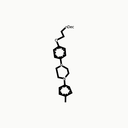 CCCCCCCCCCCCOc1ccc(N2CCN(c3ccc(C)cc3)CC2)cc1